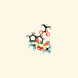 C=C(C)C(=O)OC(CC(S(=O)(=O)C(F)(F)F)S(=O)(=O)C(F)(F)F)C1CCCC1